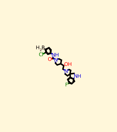 Bc1ccc(NC(=O)N2CCC(C(O)CN3CCC4(CC3)CNc3ccc(F)cc34)CC2)cc1Cl